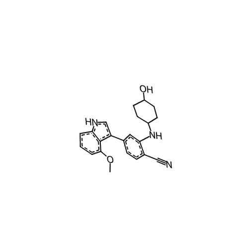 COc1cccc2[nH]cc(-c3ccc(C#N)c(NC4CCC(O)CC4)c3)c12